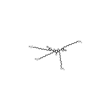 CCCCCCCCCCCCc1cc(-c2sc3c(c2CCCCCCCCCCCC)C(=O)c2c-3sc(-c3cc(CCCCCCCCCCCC)c(Br)s3)c2CCCCCCCCCCCC)sc1Br